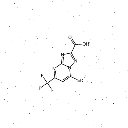 O=C(O)c1nc2nc(C(F)(F)F)cc(S)n2n1